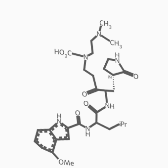 COc1cccc2[nH]c(C(=O)NC(CC(C)C)C(=O)NC(C[C@@H]3CCNC3=O)C(=O)CCN(CCN(C)C)C(=O)O)cc12